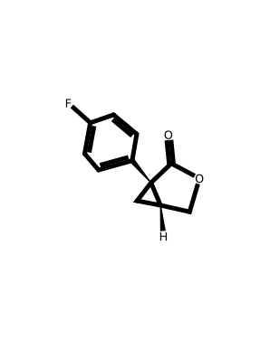 O=C1OC[C@@H]2C[C@]12c1ccc(F)cc1